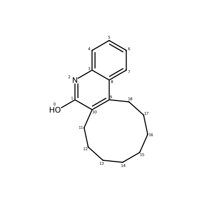 Oc1nc2ccccc2c2c1CCCCCCCC2